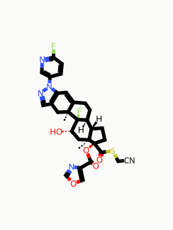 C[C@]12Cc3cnn(-c4ccc(F)nc4)c3C=C1CC[C@H]1[C@@H]3CC[C@](OC(=O)c4cocn4)(C(=O)SCC#N)[C@@]3(C)C[C@H](O)[C@@]12F